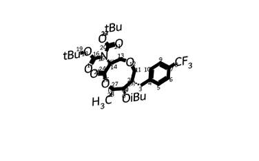 CC(C)CO[C@@H]1[C@@H](Cc2ccc(C(F)(F)F)cc2)COC[C@H](N(C(=O)OC(C)(C)C)C(=O)OC(C)(C)C)C(=O)O[C@H]1C